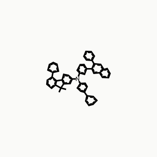 CC1(C)c2cc(N(c3ccc(-c4ccccc4)cc3)c3cccc(-c4cc5ccccc5cc4-c4ccccc4)c3)ccc2-c2c(-c3ccccc3)cccc21